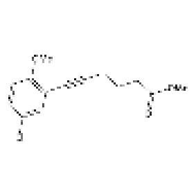 COC(=O)CCCC#Cc1cc(Cl)ccc1OC